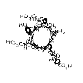 Cc1sc2nc1C(=O)N[C@@H]([C@H](OC(=O)NCC(=O)O)c1ccccc1)c1nc(cs1)C(=O)N[C@@H](Cc1ccc(O)cc1)C(=O)N1C[C@H](OC(=O)NCC(=O)O)[C@H](C)[C@H]1c1nc(cs1)-c1nc(cs1)-c1nc(-c3nc(C(=O)N[C@H]4CC[C@H](C(=O)O)CC4)cs3)ccc1-c1nc(cs1)C(=O)N[C@H]2CC(N)=O